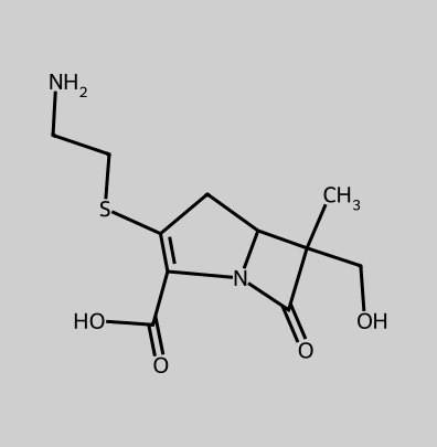 CC1(CO)C(=O)N2C(C(=O)O)=C(SCCN)CC21